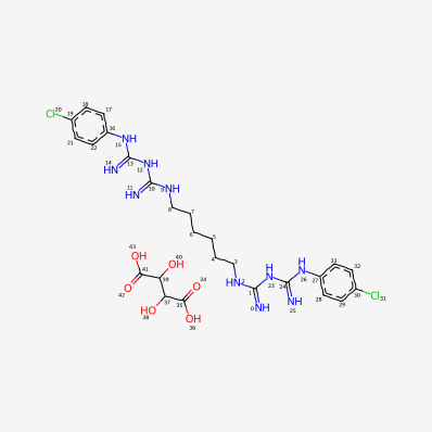 N=C(NCCCCCCNC(=N)NC(=N)Nc1ccc(Cl)cc1)NC(=N)Nc1ccc(Cl)cc1.O=C(O)C(O)C(O)C(=O)O